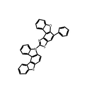 c1ccc(-c2cc3sc(-n4c5ccccc5c5c6c(ccc54)sc4ccccc46)nc3c3c2oc2ccccc23)cc1